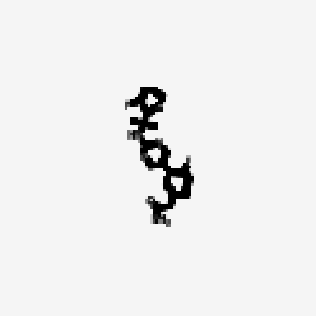 CC(C)(Nc1ncc(-c2cc(CC(N)=O)ccc2F)cn1)c1ncccc1F